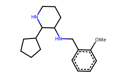 COc1ccccc1CNC1CCCNC1C1CCCC1